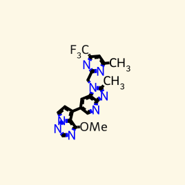 COc1ncnn2ccc(-c3cnc4nc(C)n(Cc5nc(C)cc(C(F)(F)F)n5)c4c3)c12